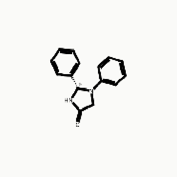 O=C1CN(c2ccccc2)[C@@H](c2ccccc2)N1